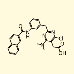 CN(C)c1nc(Cc2cccc(NC(=O)c3ccc4ccccc4c3)c2)nc(Cl)c1CC(=O)O